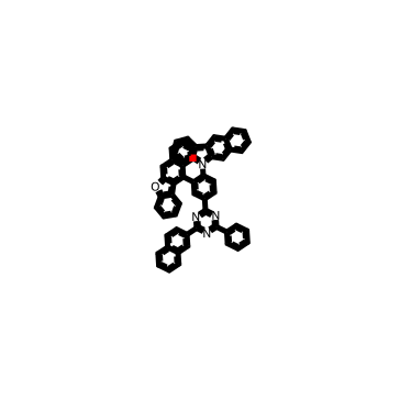 c1ccc(-c2nc(-c3ccc(-n4c5ccccc5c5cc6ccccc6cc54)c(-c4c5ccccc5cc5oc6ccccc6c45)c3)nc(-c3ccc4ccccc4c3)n2)cc1